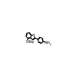 COc1cccc2sc(-c3ccc(N)cc3)cc12